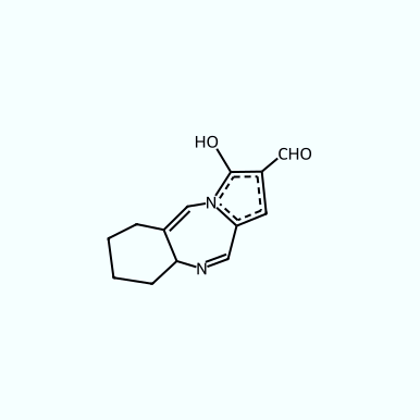 O=Cc1cc2n(c1O)C=C1CCCCC1N=C2